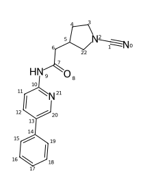 N#CN1CCC(CC(=O)Nc2ccc(-c3ccccc3)cn2)C1